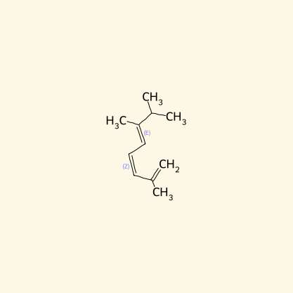 C=C(C)/C=C\C=C(/C)C(C)C